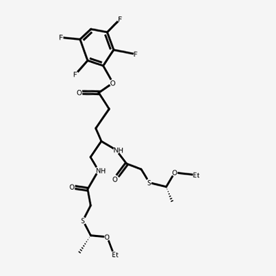 CCO[C@H](C)SCC(=O)NCC(CCC(=O)Oc1c(F)c(F)cc(F)c1F)NC(=O)CS[C@@H](C)OCC